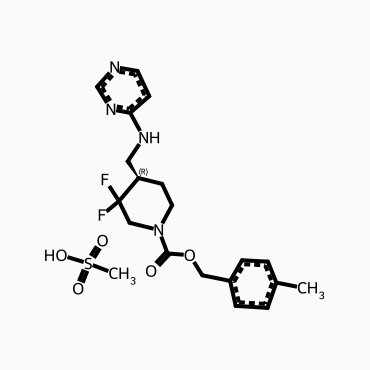 CS(=O)(=O)O.Cc1ccc(COC(=O)N2CC[C@H](CNc3ccncn3)C(F)(F)C2)cc1